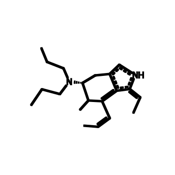 C/C=C\C1=c2c(c[nH]/c2=C/C)C[C@@H](N(CCC)CCC)C1C